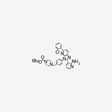 CC(C)(C)OC(=O)N1CCN(Cc2ccc(-n3c(-c4cccnc4N)nc4ccc(-c5ccccc5Cl)nc43)cc2)CC1